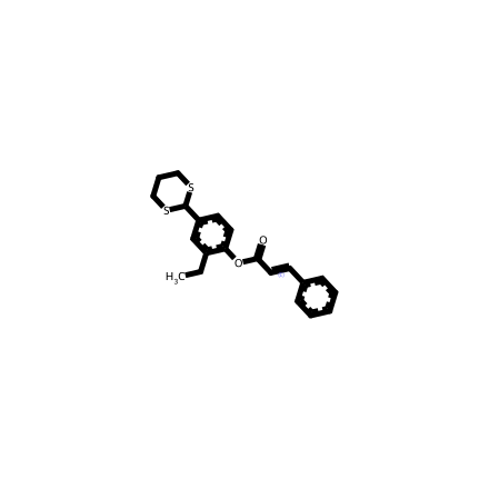 CCc1cc(C2SCCCS2)ccc1OC(=O)/C=C/c1ccccc1